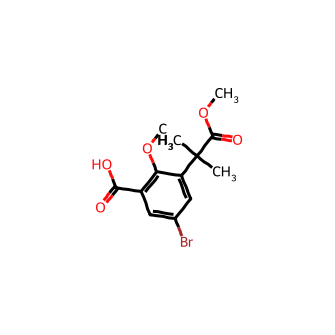 COC(=O)C(C)(C)c1cc(Br)cc(C(=O)O)c1OC